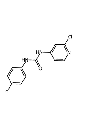 O=C(Nc1ccc(F)cc1)Nc1ccnc(Cl)c1